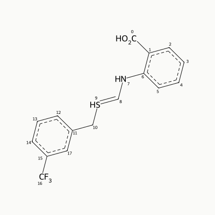 O=C(O)c1ccccc1NC=[SH]Cc1cccc(C(F)(F)F)c1